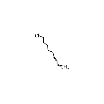 C=CC=CCCCCCCl